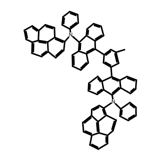 Cc1cc(-c2c3ccccc3c(N(c3ccccc3)c3ccc4ccc5cccc6ccc3c4c56)c3ccccc23)cc(-c2c3ccccc3c(N(c3ccccc3)c3ccc4ccc5cccc6ccc3c4c56)c3ccccc23)c1